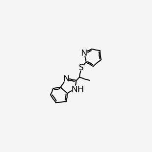 CC(Sc1ccccn1)c1nc2ccccc2[nH]1